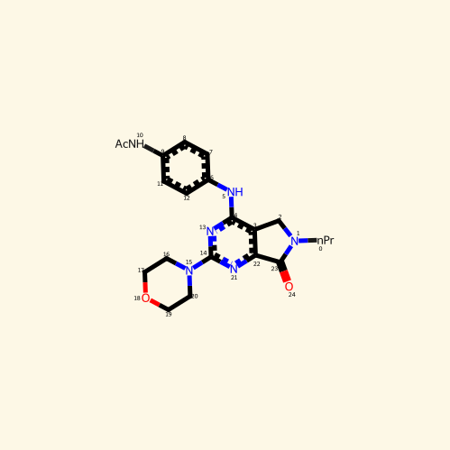 CCCN1Cc2c(Nc3ccc(NC(C)=O)cc3)nc(N3CCOCC3)nc2C1=O